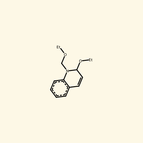 CCOCN1c2ccccc2C=CC1OCC